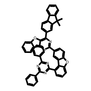 CC1(C)c2ccccc2-c2ccc(-c3nc(-c4ccc5oc6cccc(-c7nc(-c8ccccc8)nc(-c8ccccc8)n7)c6c5c4)nc4c3oc3ccccc34)cc21